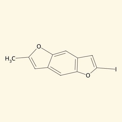 Cc1cc2cc3oc(I)cc3cc2o1